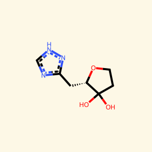 OC1(O)CCO[C@H]1Cc1nc[nH]n1